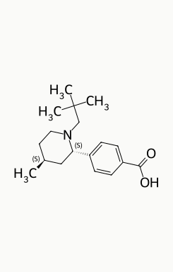 C[C@H]1CCN(CC(C)(C)C)[C@H](c2ccc(C(=O)O)cc2)C1